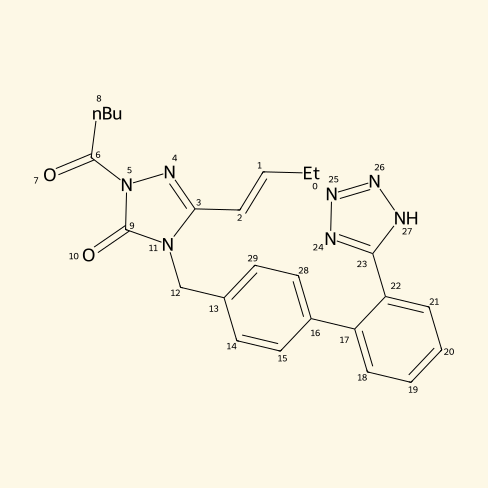 CCC=Cc1nn(C(=O)CCCC)c(=O)n1Cc1ccc(-c2ccccc2-c2nnn[nH]2)cc1